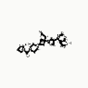 C[C@H]1CCCN1C(=O)N1CCN(C2CC(CC#N)(n3cc(-c4ncnc5[nH]ccc45)cn3)C2)CC1